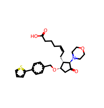 O=C(O)CCC/C=C\C[C@H]1[C@@H](OCc2ccc(-c3cccs3)cc2)CC(=O)[C@@H]1N1CCOCC1